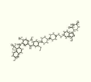 CCc1cc(Nc2ncc(Br)c(Nc3ccc4nc(C)ccc4c3P(C)(C)=O)n2)c(OC)cc1N1CCC(N2CCN(CCc3ccc4c(c3)c(F)nn4C3CCC(=O)NC3=O)CC2)CC1